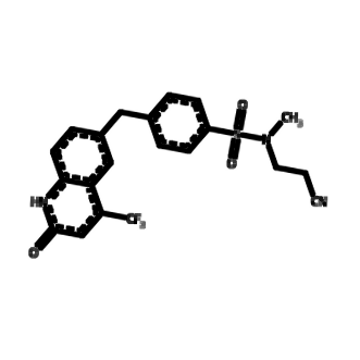 CN(CCC#N)S(=O)(=O)c1ccc(Cc2ccc3[nH]c(=O)cc(C(F)(F)F)c3c2)cc1